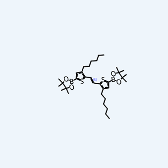 CCCCCCc1cc(B2OC(C)(C)C(C)(C)O2)sc1/C=C/c1sc(B2OC(C)(C)C(C)(C)O2)cc1CCCCCC